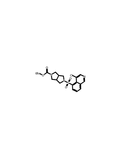 CC(C)(C)OC(=O)N1CC2CN(S(=O)(=O)c3cccc4cncc(Cl)c34)CC2C1